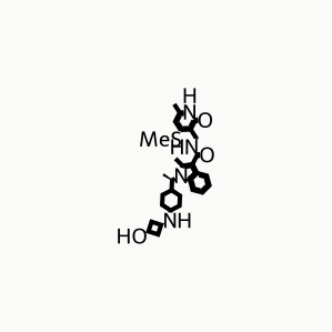 CSc1cc(C)[nH]c(=O)c1CNC(=O)c1c(C)n([C@H](C)C2CCC(N[C@H]3C[C@@H](O)C3)CC2)c2ccccc12